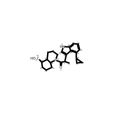 CC(C(=O)N1CCCC2C(C(=O)O)CCCC21)c1c[nH]c2cccc(C3CC3)c12